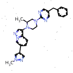 CC1CN(c2ncc(Cc3ccccc3)cn2)CCN1c1cnn2cc(-c3cnn(C)c3)ccc12